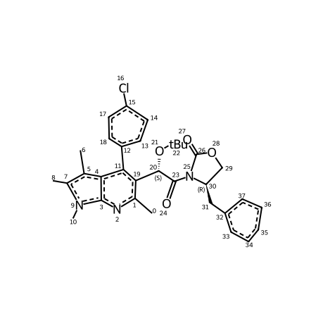 Cc1nc2c(c(C)c(C)n2C)c(-c2ccc(Cl)cc2)c1[C@H](OC(C)(C)C)C(=O)N1C(=O)OC[C@H]1Cc1ccccc1